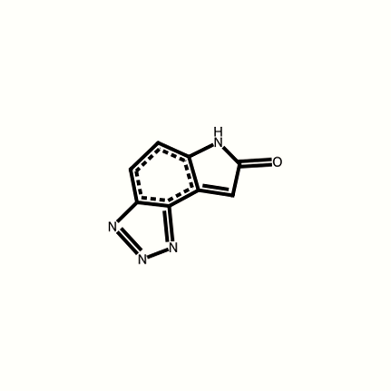 O=C1C=c2c(ccc3c2=NN=N3)N1